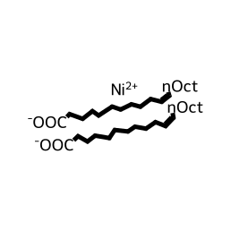 CCCCCCCC/C=C\CCCCCCCCCC(=O)[O-].CCCCCCCC/C=C\CCCCCCCCCC(=O)[O-].[Ni+2]